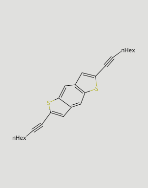 CCCCCCC#Cc1cc2cc3sc(C#CCCCCCC)cc3cc2s1